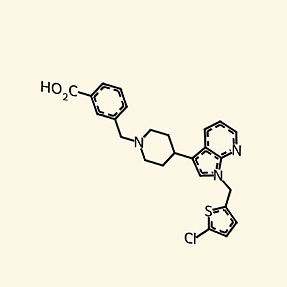 O=C(O)c1cccc(CN2CCC(c3cn(Cc4ccc(Cl)s4)c4ncccc34)CC2)c1